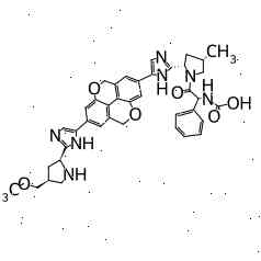 COC[C@@H]1CN[C@H](c2ncc(-c3cc4c5c(c3)OCc3cc(-c6cnc([C@@H]7C[C@H](C)CN7C(=O)[C@H](NC(=O)O)c7ccccc7)[nH]6)cc(c3-5)OC4)[nH]2)C1